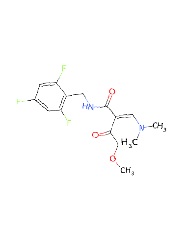 COCC(=O)/C(=C\N(C)C)C(=O)NCc1c(F)cc(F)cc1F